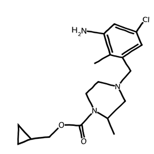 Cc1c(N)cc(Cl)cc1CN1CCN(C(=O)OCC2CC2)C(C)C1